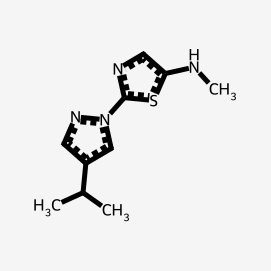 CNc1cnc(-n2cc(C(C)C)cn2)s1